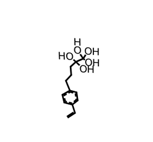 C=Cc1ccc(CCCC(O)(O)C(O)(O)O)cc1